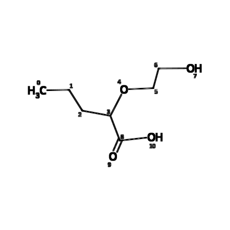 CCCC(OCCO)C(=O)O